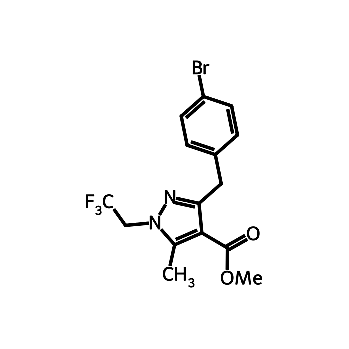 COC(=O)c1c(Cc2ccc(Br)cc2)nn(CC(F)(F)F)c1C